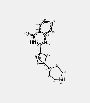 O=c1[nH]c(C23CCC(N4CCNCC4)(C2)C3)nc2ccccc12